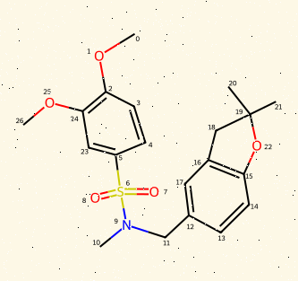 COc1ccc(S(=O)(=O)N(C)Cc2ccc3c(c2)CC(C)(C)O3)cc1OC